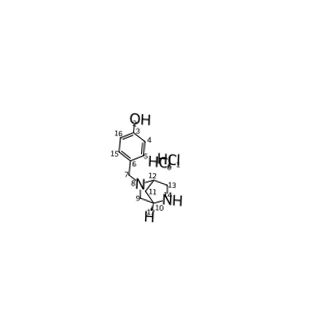 Cl.Cl.Oc1ccc(CN2C[C@@H]3CC2CN3)cc1